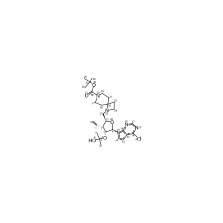 C=C[C@H]1[C@@H](OC(C)(C)O)[C@H](n2ccc3c(Cl)ncnc32)O[C@@H]1CN1CCC12CCN(C(=O)OC(C)(C)C)CC2